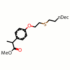 CCCCCCCCCCCCSCCOc1ccc(C(C)C(=O)OC)cc1